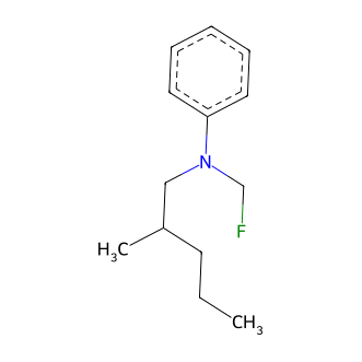 CCCC(C)CN(CF)c1ccccc1